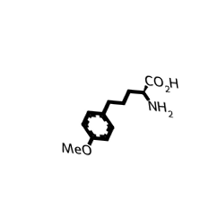 COc1ccc(CCC[C@H](N)C(=O)O)cc1